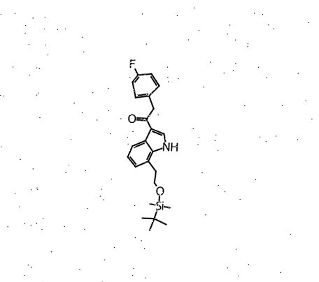 CC(C)(C)[Si](C)(C)OCCc1cccc2c(C(=O)Cc3ccc(F)cc3)c[nH]c12